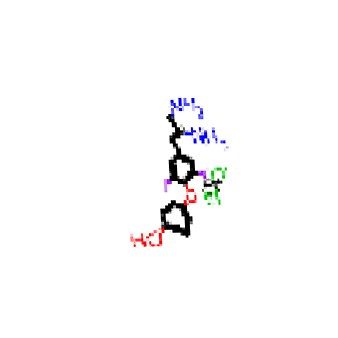 NC[C@@H](N)Cc1cc(I)c(Oc2ccc(O)cc2)c(I)c1.[Cl][Pt][Cl]